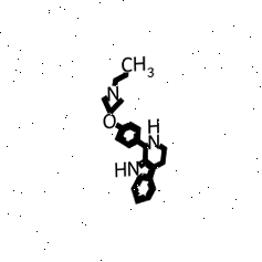 CCCN1CC(Oc2ccc(C3NCCc4c3[nH]c3ccccc43)cc2)C1